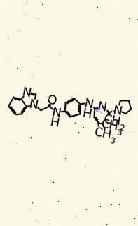 C=C(/N=C(\C=C(C)C)Nc1ccc(NC(=O)Cn2cnc3ccccc32)cc1)N1CCCC1